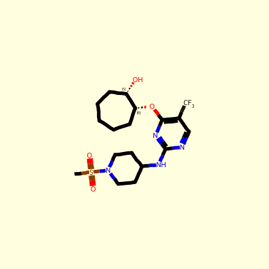 CS(=O)(=O)N1CCC(Nc2ncc(C(F)(F)F)c(O[C@@H]3CCCCC[C@@H]3O)n2)CC1